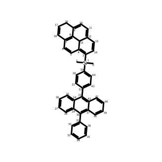 C[Si](C)(C1=C2C=CC3=C4C(=CC=C(C=C1)C24)CC=C3)c1ccc(-c2c3ccccc3c(-c3ccccc3)c3ccccc23)cc1